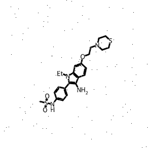 CCn1c(-c2ccc(NS(C)(=O)=O)cc2)c(N)c2ccc(OCCN3CCSCC3)cc21